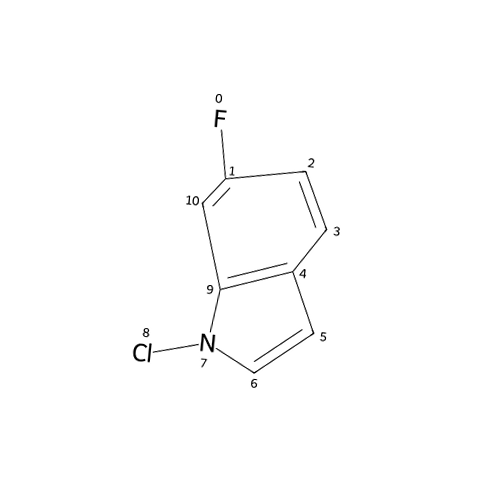 Fc1ccc2ccn(Cl)c2c1